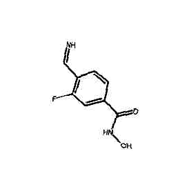 N=Cc1ccc(C(=O)NO)cc1F